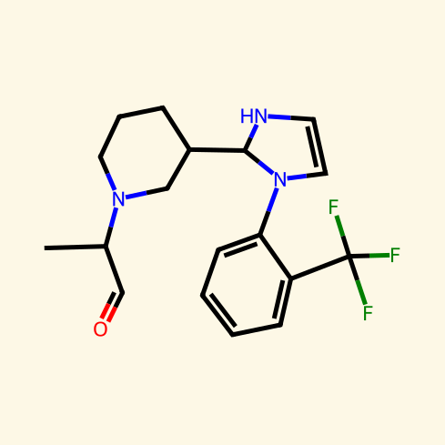 CC(C=O)N1CCCC(C2NC=CN2c2ccccc2C(F)(F)F)C1